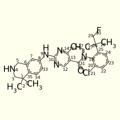 CC1(C)CNCc2cc(Nc3ncc4c(n3)OCN(c3c(Cl)cccc3C(C)(C)CF)C4=O)ccc21